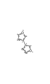 [c]1nc(-c2conn2)co1